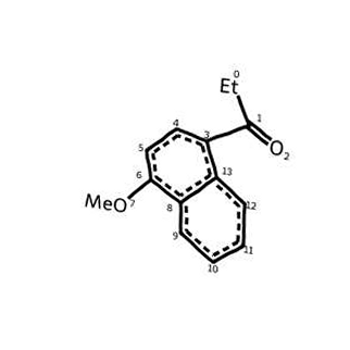 CCC(=O)c1ccc(OC)c2ccccc12